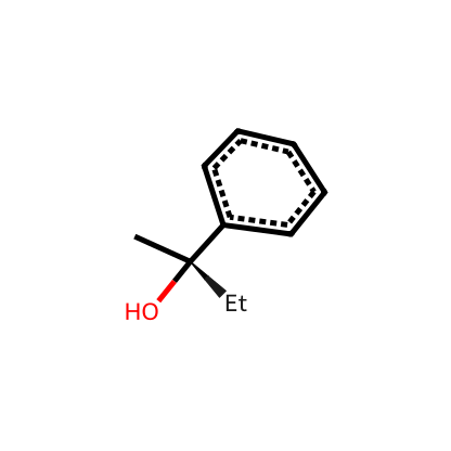 CC[C@](C)(O)c1ccccc1